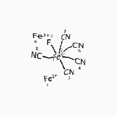 N#[C][Fe-4]([F])([C]#N)([C]#N)([C]#N)[C]#N.[Fe+2].[Fe+2]